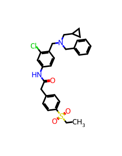 CCS(=O)(=O)c1ccc(CC(=O)Nc2ccc(CN(Cc3ccccc3)CC3CC3)c(Cl)c2)cc1